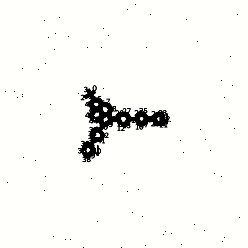 CC(C)(C)c1cc2ccc3c(-c4ccc(-c5ccc(-c6ccncc6)cc5)cc4)cc(C4C=CC(c5ccccn5)=CC4)c4ccc(c1)c2c34